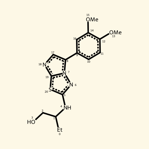 CCC(CO)Nc1nn2c(-c3ccc(OC)c(OC)c3)cnc2s1